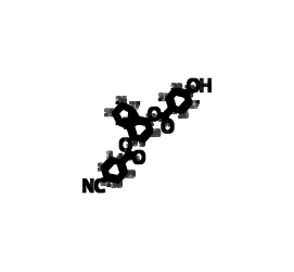 N#Cc1ccc(C(=O)Oc2ccc(OC(=O)c3ccc(O)cc3)c3c2C2CCC3C2)cc1